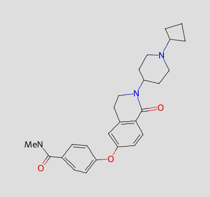 CNC(=O)c1ccc(Oc2ccc3c(c2)CCN(C2CCN(C4CCC4)CC2)C3=O)cc1